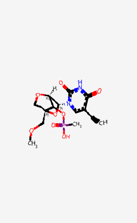 C#Cc1cn([C@@H]2O[C@]3(COC)CO[C@@H]2C3OP(C)(=O)O)c(=O)[nH]c1=O